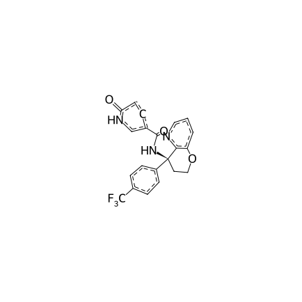 O=C(N[C@]1(c2ccc(C(F)(F)F)cc2)CCOc2cccnc21)c1ccc(=O)[nH]c1